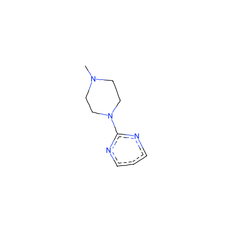 CN1CCN(c2ncccn2)CC1